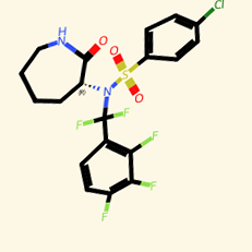 O=C1NCCCC[C@H]1N(C(F)(F)c1ccc(F)c(F)c1F)S(=O)(=O)c1ccc(Cl)cc1